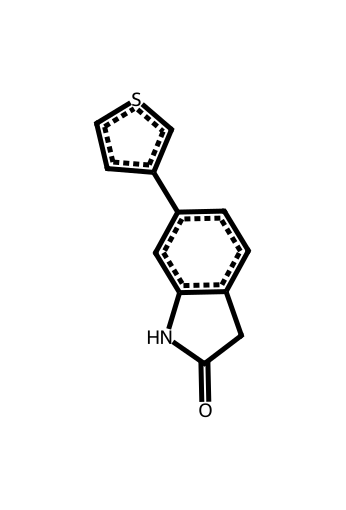 O=C1Cc2ccc(-c3ccsc3)cc2N1